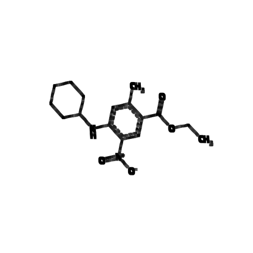 CCOC(=O)c1cc([N+](=O)[O-])c(NC2CCCCC2)cc1C